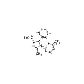 CCOC(=O)c1cc(C)n(-c2cccc(C(F)(F)F)c2)c1-c1ccccc1